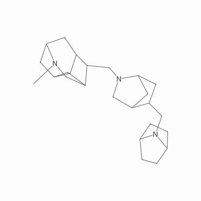 CN1CC2CC3CC(CC1C3)C2CN1CC2CC1CC2CN1C2CCC1CC2